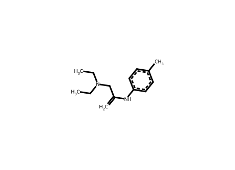 C=C(CN(CC)CC)Nc1ccc(C)cc1